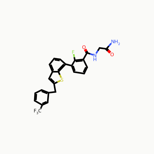 NC(=O)CNC(=O)c1cccc(-c2cccc3cc(Cc4cccc(C(F)(F)F)c4)sc23)c1F